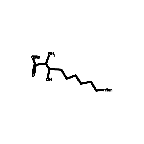 CCCCCCCCCCCCCCCC(O)C(N)C(=O)OC